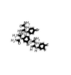 N=C(N)N(C(N)=O)c1cccc(Br)c1.N=C(NC(N)=O)Nc1ccc(Br)cc1.N=C(NC(N)=O)Nc1ccc(F)c(F)c1